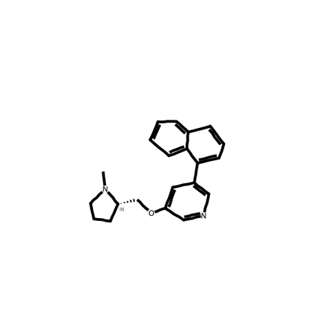 CN1CCC[C@H]1COc1cncc(-c2cccc3ccccc23)c1